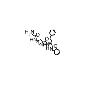 NCC(=O)N[C@H]1CN[C@H](C(=O)N[C@@H](CCc2ccccc2)c2nc3ccccc3o2)C1